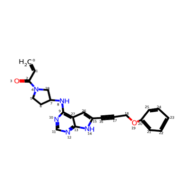 C=CC(=O)N1CCC(Nc2ncnc3[nH]c(C#CCOc4ccccc4)cc23)C1